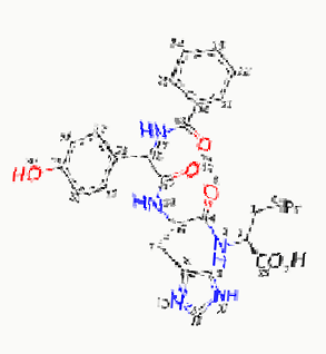 CC(C)C[C@H](NC(=O)[C@H](Cc1c[nH]cn1)NC(=O)C(NC(=O)c1ccccc1)c1ccc(O)cc1)C(=O)O